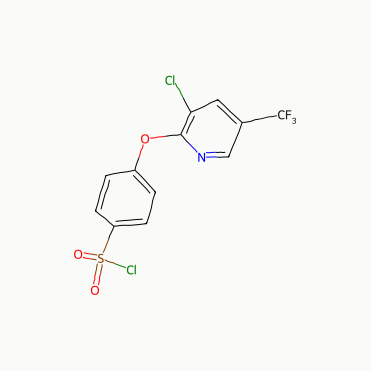 O=S(=O)(Cl)c1ccc(Oc2ncc(C(F)(F)F)cc2Cl)cc1